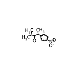 CC(C)C(=O)C(C)c1ccc([N+](=O)[O-])cc1